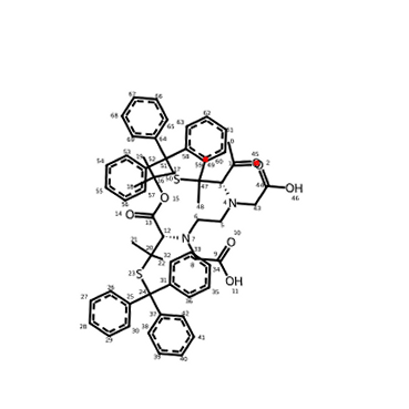 CC(=O)[C@H](N(CCN(CC(=O)O)[C@@H](C(=O)OC(C)(C)C)C(C)(C)SC(c1ccccc1)(c1ccccc1)c1ccccc1)CC(=O)O)C(C)(C)SC(c1ccccc1)(c1ccccc1)c1ccccc1